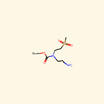 CC(C)(C)OC(=O)N(CCN)CCS(C)(=O)=O